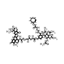 CC[C@@]1(O)C(=O)OCc2c1cc1n(c2=O)Cc2c-1nc1cc(F)c(C)c3c1c2[C@@H](NC(=O)COCNC(=O)CNC(=O)OCc1ccc(O[C@@H]2O[C@H](COC(C)=O)[C@@H](OC(C)=O)[C@H](OC(C)=O)[C@H]2OC(C)=O)c(C(=O)NCCNC(=O)COC2C#CCCCCC2)c1)CC3